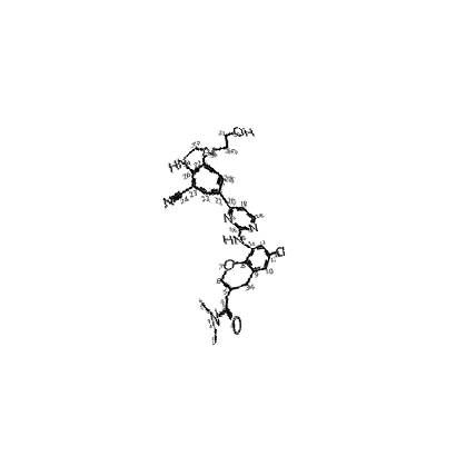 CN(C)C(=O)C1COc2c(cc(Cl)cc2Nc2nccc(-c3cc(C#N)c4c(c3)N(CCO)CN4)n2)C1